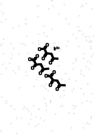 CC(=O)CC(=O)C(=O)[O-].CC(=O)CC(=O)C(=O)[O-].CC(=O)CC(=O)C(=O)[O-].[Ir+3]